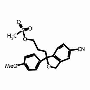 COc1ccc(C2(CCCOS(C)(=O)=O)OCc3cc(C#N)ccc32)cc1